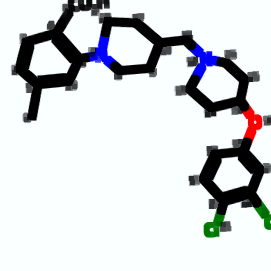 Cc1ccc(C(=O)O)c(N2CCC(CN3CCC(Oc4ccc(Cl)c(Cl)c4)CC3)CC2)c1